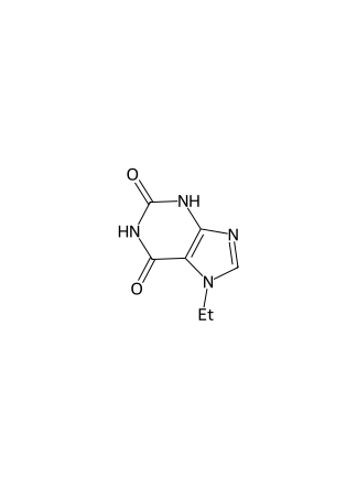 CCn1cnc2[nH]c(=O)[nH]c(=O)c21